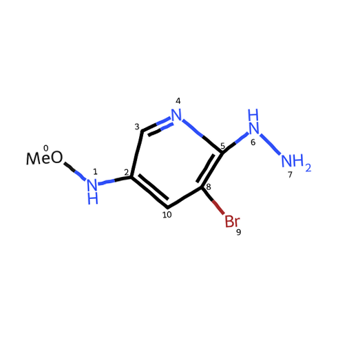 CONc1cnc(NN)c(Br)c1